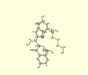 C=C(c1cc(C)ccc1NC)N(C)C(CC)c1cc2nc(C)cc(N(C)CCCCC)n2n1